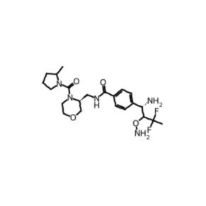 CC1CCCN1C(=O)N1CCOC[C@@H]1CNC(=O)c1ccc([C@H](N)C(ON)C(C)(F)F)cc1